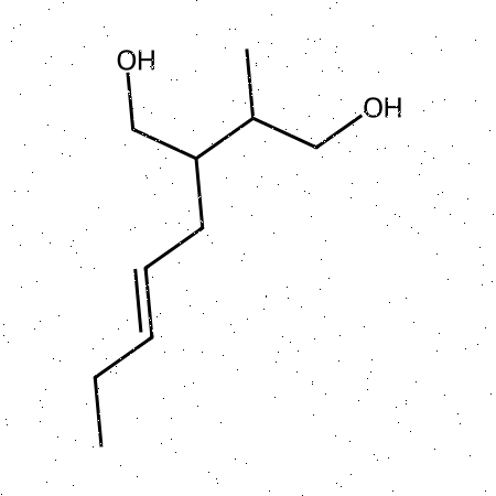 CCC=CCC(CO)C(C)CO